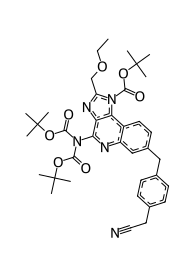 CCOCc1nc2c(N(C(=O)OC(C)(C)C)C(=O)OC(C)(C)C)nc3cc(Cc4ccc(CC#N)cc4)ccc3c2n1C(=O)OC(C)(C)C